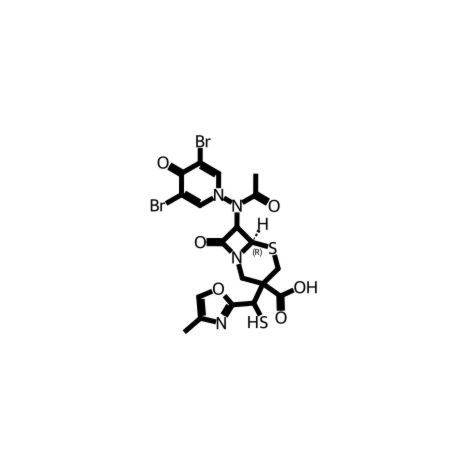 CC(=O)N(C1C(=O)N2CC(C(=O)O)(C(S)c3nc(C)co3)CS[C@H]12)n1cc(Br)c(=O)c(Br)c1